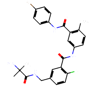 COc1ccc(NC(=O)c2cc(CNC(=O)C(C)(N)C(F)(F)F)ccc2Cl)cc1C(=O)Nc1ccc(Br)cc1